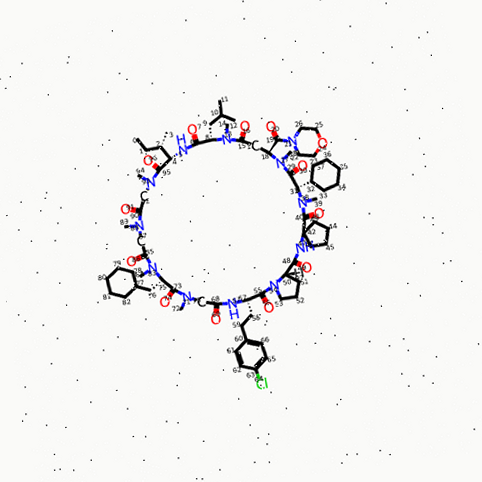 CC[C@H](C)[C@@H]1NC(=O)[C@H](CC(C)C)N(C)C(=O)C[C@@H](C(=O)N2CCOCC2)N(C)C(=O)[C@H](C2CCCCC2)N(C)C(=O)C2(CCCC2)NC(=O)[C@@H]2CCCN2C(=O)[C@H](CCc2ccc(Cl)cc2)NC(=O)CN(C)C(=O)[C@H](CC2CCCCC2)N(C)C(=O)CN(C)C(=O)CN(C)C1=O